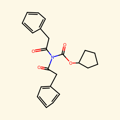 O=C(Cc1ccccc1)N(C(=O)Cc1ccccc1)C(=O)OC1CCCC1